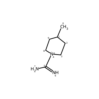 CC1CC[N+](C(=N)N)CC1